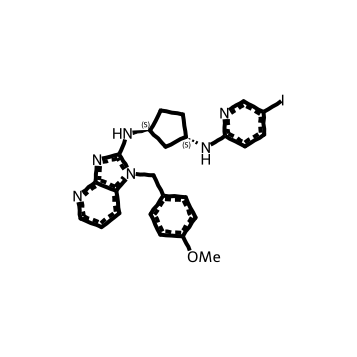 COc1ccc(Cn2c(N[C@H]3CC[C@H](Nc4ccc(I)cn4)C3)nc3ncccc32)cc1